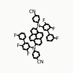 [C-]#[N+]c1ccc(N(c2cc(-c3cccc(F)c3)c(F)cc2F)c2ccc3ccc4c(N(c5ccc(C#N)cc5)c5cc(-c6cccc(F)c6)c(F)cc5F)ccc5ccc2c3c54)cc1